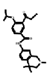 CCC(=O)c1cc(C(=O)Nc2ccc3c(c2)CN(C)CC3(C)C)ccc1OC(C)C